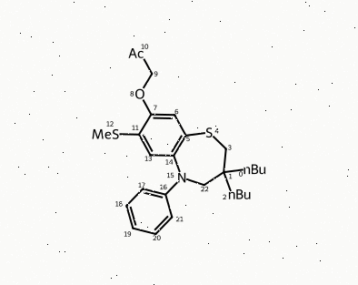 CCCCC1(CCCC)CSc2cc(OCC(C)=O)c(SC)cc2N(c2ccccc2)C1